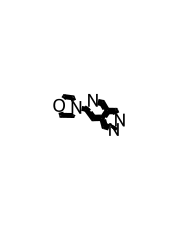 c1nncc2cc(N3CCOCC3)ncc12